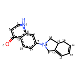 O=c1cc[nH]c2cc(N3CC4=CC=CCC4C3)ccc12